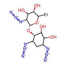 CCC1O[C@H](O[C@@H]2C(N=[N+]=[N-])CC(N=[N+]=[N-])C(O)C2O)C(N=[N+]=[N-])C(O)[C@H]1O